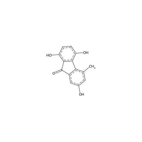 Cc1cc(O)cc2c1-c1c(O)ccc(O)c1C2=O